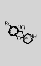 Brc1ccc2c(c1)C[C@@]1(CCCNC1)O2.Cl